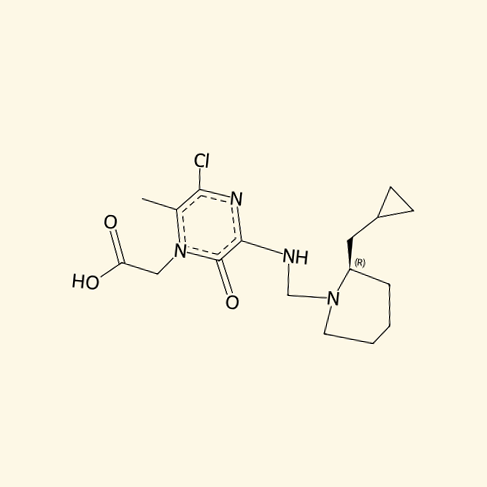 Cc1c(Cl)nc(NCN2CCCC[C@@H]2CC2CC2)c(=O)n1CC(=O)O